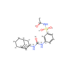 CC(=O)NS(=O)(=O)c1cccc(NC(=O)NC23CC4CCCC(C4)(C2)C3)c1